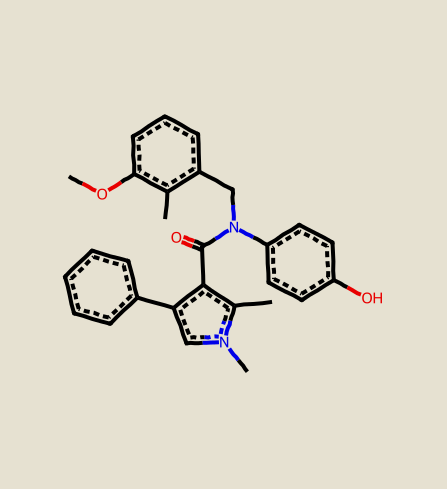 COc1cccc(CN(C(=O)c2c(-c3ccccc3)cn(C)c2C)c2ccc(O)cc2)c1C